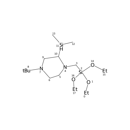 CCO[Si](CN1CCN(C(C)(C)C)CC1[SiH](C)C)(OCC)OCC